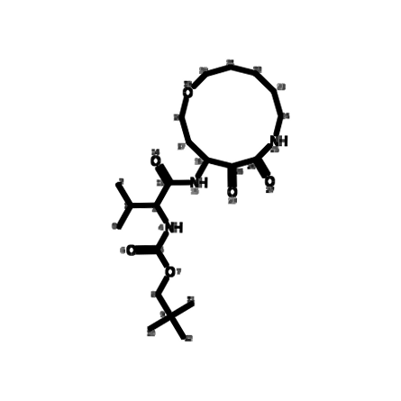 CC(C)C(NC(=O)OCC(C)(C)C)C(=O)NC1CCOCCCCCNC(=O)C1=O